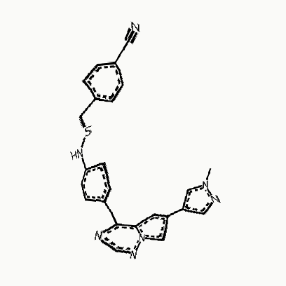 Cn1cc(-c2cc3c(-c4ccc(NSCc5ccc(C#N)cc5)cc4)ncnn3c2)cn1